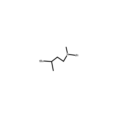 CC(C)N(C)CCC(C)C(C)(C)C